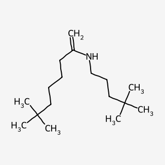 C=C(CCCCC(C)(C)C)NCCCC(C)(C)C